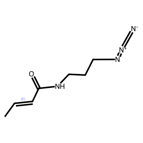 C/C=C/C(=O)NCCCN=[N+]=[N-]